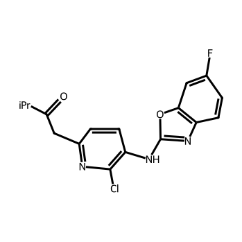 CC(C)C(=O)Cc1ccc(Nc2nc3ccc(F)cc3o2)c(Cl)n1